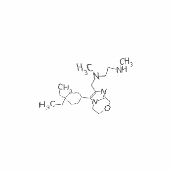 CCC1(CC)CCC(c2c(CN(C)CCNC)nc3n2CCOC3)CC1